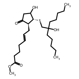 CCCCCC(O)(CCCCC)CS[C@H]1C(O)CC(=O)[C@@H]1CC=CCCCC(=O)OC